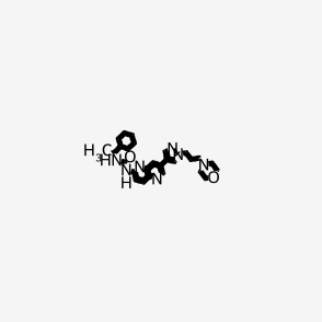 C[C@@H](NC(=O)Nc1ccc2ncc(-c3cnn(CCCN4CCOCC4)c3)cc2n1)C1CCCCC1